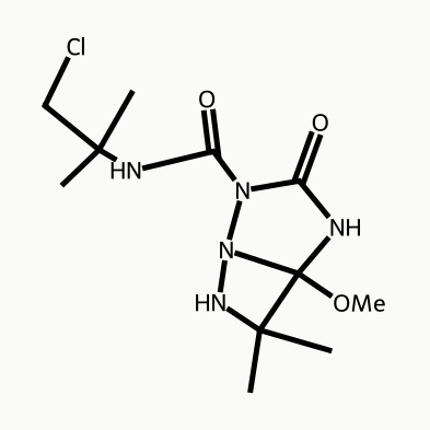 COC12NC(=O)N(C(=O)NC(C)(C)CCl)N1NC2(C)C